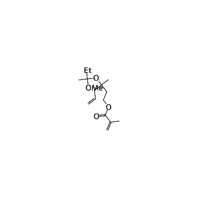 C=CCC(C)(CCOC(=O)C(=C)C)OC(C)(CC)OC